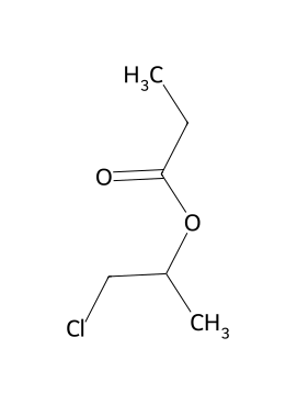 CCC(=O)OC(C)CCl